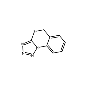 c1ccc2c(c1)CSc1nnnn1-2